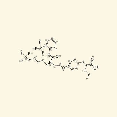 CCOC(Cc1ccc(OCCN(CCCOCC(F)(F)F)C(=O)Oc2ccccc2C(F)(F)F)cc1)C(=O)O